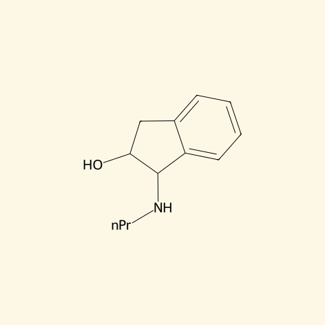 CCCNC1c2ccccc2CC1O